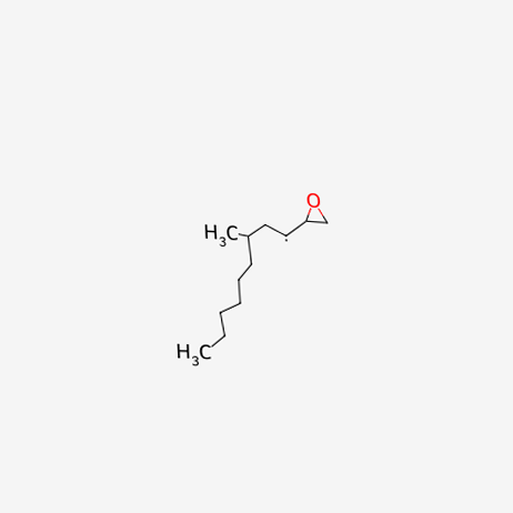 CCCCCCC(C)C[CH]C1CO1